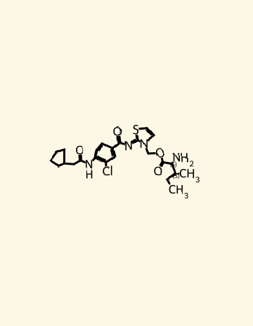 CC[C@H](C)[C@H](N)C(=O)OCn1ccsc1=NC(=O)c1ccc(NC(=O)CC2CCCC2)c(Cl)c1